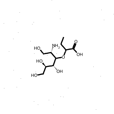 CCC(OC([C@@H](N)CO)[C@H](O)[C@H](O)CO)C(=O)O